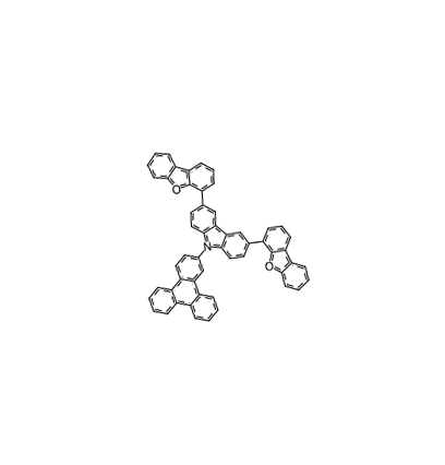 c1ccc2c(c1)oc1c(-c3ccc4c(c3)c3cc(-c5cccc6c5oc5ccccc56)ccc3n4-c3ccc4c5ccccc5c5ccccc5c4c3)cccc12